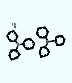 F.F.c1cc[c]([Bi]([c]2ccccc2)[c]2ccccc2)cc1.c1cc[c]([Bi]([c]2ccccc2)[c]2ccccc2)cc1